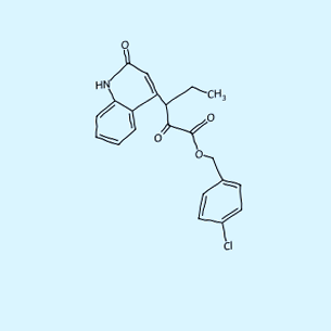 CCC(C(=O)C(=O)OCc1ccc(Cl)cc1)c1cc(=O)[nH]c2ccccc12